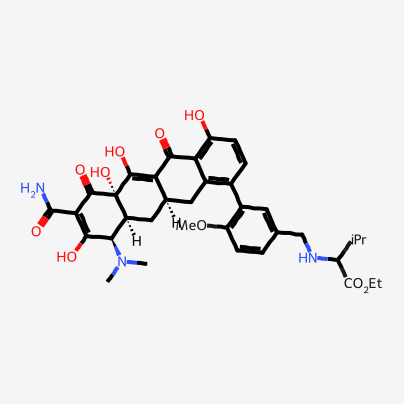 CCOC(=O)C(NCc1ccc(OC)c(-c2ccc(O)c3c2C[C@H]2C[C@H]4[C@@H](N(C)C)C(O)=C(C(N)=O)C(=O)[C@@]4(O)C(O)=C2C3=O)c1)C(C)C